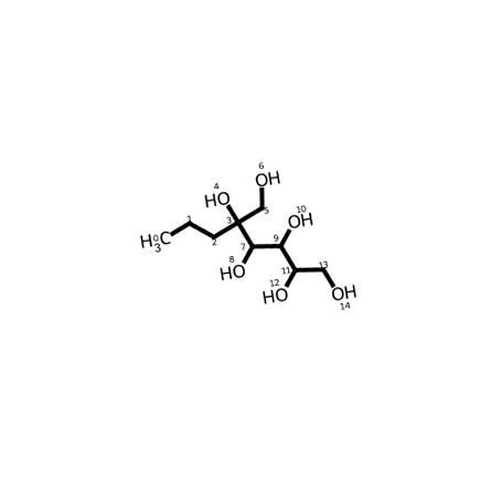 CCCC(O)(CO)C(O)C(O)C(O)CO